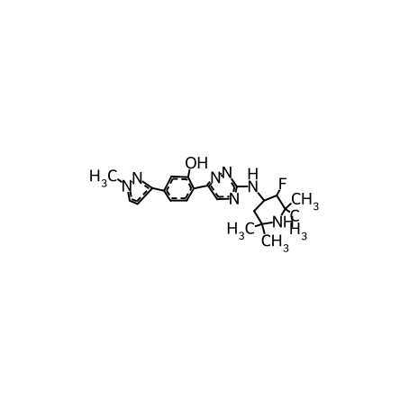 Cn1ccc(-c2ccc(-c3cnc(NC4CC(C)(C)NC(C)(C)C4F)nn3)c(O)c2)n1